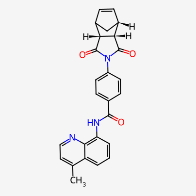 Cc1ccnc2c(NC(=O)c3ccc(N4C(=O)[C@@H]5[C@H](C4=O)C4C=C[C@H]5C4)cc3)cccc12